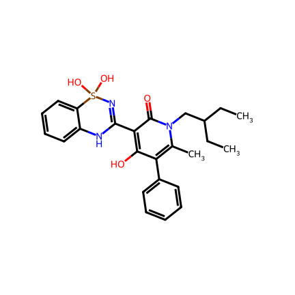 CCC(CC)Cn1c(C)c(-c2ccccc2)c(O)c(C2=NS(O)(O)c3ccccc3N2)c1=O